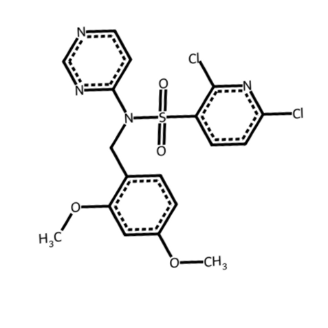 COc1ccc(CN(c2ccncn2)S(=O)(=O)c2ccc(Cl)nc2Cl)c(OC)c1